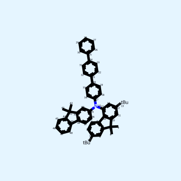 CC(C)(C)c1ccc2c(c1)C(C)(C)c1cc(C(C)(C)C)cc(N(c3ccc(-c4ccc(-c5ccccc5)cc4)cc3)c3ccc4c(c3)C(C)(C)c3ccccc3-4)c1-2